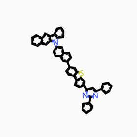 c1ccc(-c2cc(-c3ccc4c(c3)sc3cc(-c5ccc6cc(-n7c8ccccc8c8cc9ccccc9cc87)ccc6c5)ccc34)nc(-c3ccccc3)n2)cc1